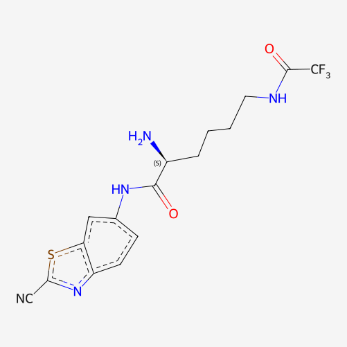 N#Cc1nc2ccc(NC(=O)[C@@H](N)CCCCNC(=O)C(F)(F)F)cc2s1